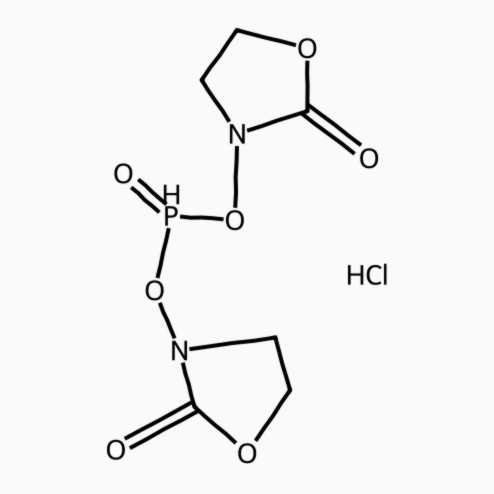 Cl.O=C1OCCN1O[PH](=O)ON1CCOC1=O